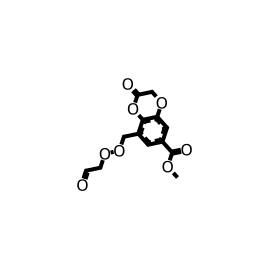 COC(=O)c1cc(COOCC=O)c2c(c1)OCC(=O)O2